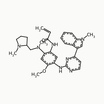 C=CC(=O)Nc1cc(Nc2nccc(-c3cn(C)c4ccccc34)n2)c(OC)cc1N(C)CC1CCCN1C